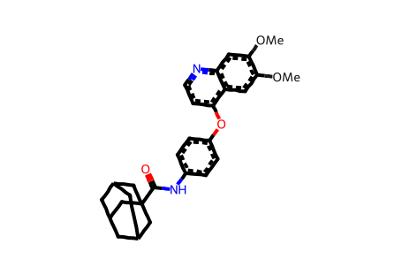 COc1cc2nccc(Oc3ccc(NC(=O)C45CC6CC(CC(C6)C4)C5)cc3)c2cc1OC